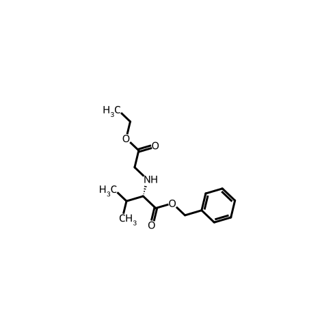 CCOC(=O)CN[C@H](C(=O)OCc1ccccc1)C(C)C